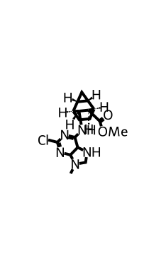 COC(=O)[C@@H]1[C@@H]2CC[C@@H]([C@@H]3C[C@@H]32)[C@H]1NC1=NC(Cl)=NC2C1NCN2C